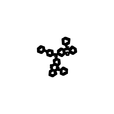 c1ccc(-c2ccc(N(c3ccc4c(c3)Oc3ccccc3N4c3ccccc3)c3ccc4c(c3)Sc3ccccc3N4c3ccccc3)cc2)cc1